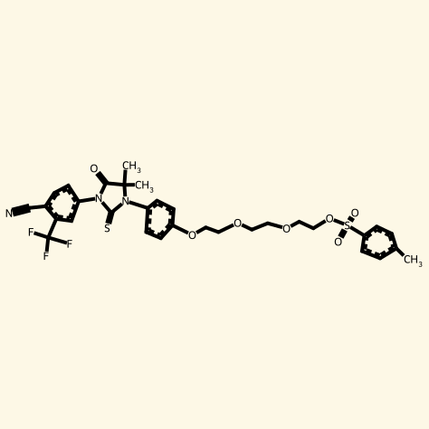 Cc1ccc(S(=O)(=O)OCCOCCOCCOc2ccc(N3C(=S)N(c4ccc(C#N)c(C(F)(F)F)c4)C(=O)C3(C)C)cc2)cc1